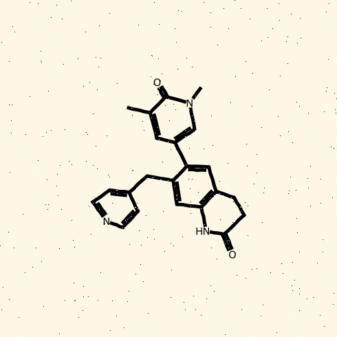 Cc1cc(-c2cc3c(cc2Cc2ccncc2)NC(=O)CC3)cn(C)c1=O